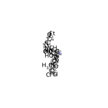 CCOc1cccc(CN2CCN(C(=O)c3cc4cc(Oc5ccc(N(C)C(=O)c6ccc(Cl)c(Cl)c6)cn5)ccc4n3C)CC2)c1.O=C(O)/C=C\C(=O)O